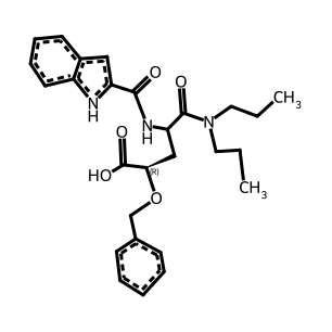 CCCN(CCC)C(=O)C(C[C@@H](OCc1ccccc1)C(=O)O)NC(=O)c1cc2ccccc2[nH]1